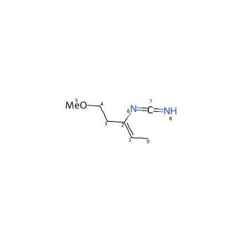 CC=C(CCOC)N=C=N